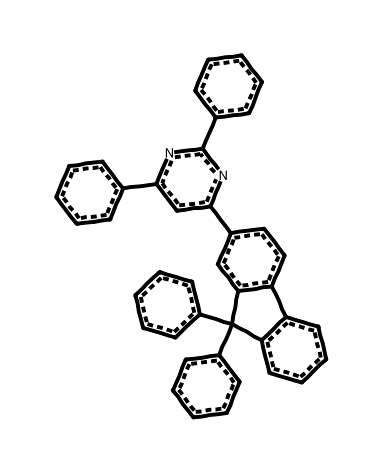 c1ccc(-c2cc(-c3ccc4c(c3)C(c3ccccc3)(c3ccccc3)c3ccccc3-4)nc(-c3ccccc3)n2)cc1